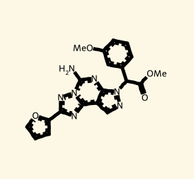 COC(=O)C(c1cccc(OC)c1)n1ncc2c1nc(N)n1nc(-c3ccco3)nc21